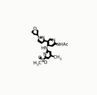 CC(=O)Nc1cc(Nc2cc(C)cc(S(C)(=O)=O)n2)c(-c2ccn(C3CCOC3)n2)cn1